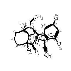 C#C[C@H](C)N1C[C@H](C=C)[C@H]2CCC[C@@H](C1=O)N2S(=O)(=O)c1cc(Cl)cc(Cl)c1